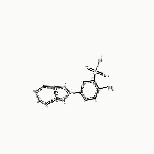 Nc1ccc(-n2nc3ccccc3n2)cc1S(=O)(=O)O